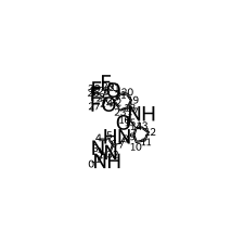 CNc1nccc(CNc2ccccc2C(=O)Nc2ccc3c(c2)OC(F)(F)C(F)(F)O3)n1